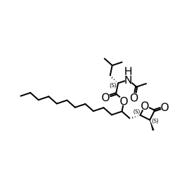 CCCCCCCCCCCC(C[C@@H]1OC(=O)[C@H]1C)OC(=O)[C@H](CC(C)C)NC(C)=O